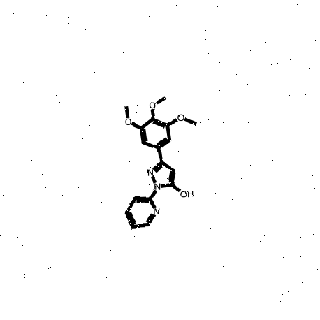 COc1cc(-c2cc(O)n(-c3ccccn3)n2)cc(OC)c1OC